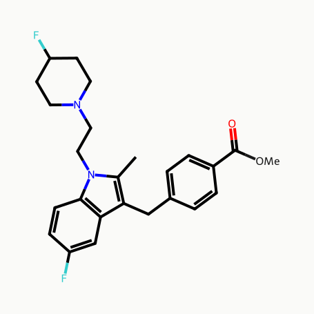 COC(=O)c1ccc(Cc2c(C)n(CCN3CCC(F)CC3)c3ccc(F)cc23)cc1